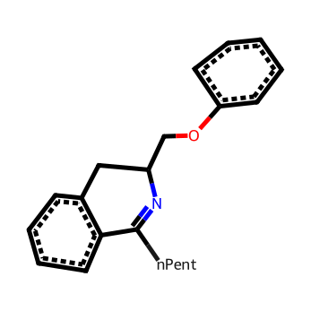 CCCCCC1=NC(COc2ccccc2)Cc2ccccc21